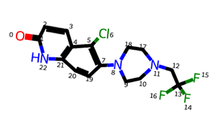 O=c1ccc2c(Cl)c(N3CCN(CC(F)(F)F)CC3)ccc2[nH]1